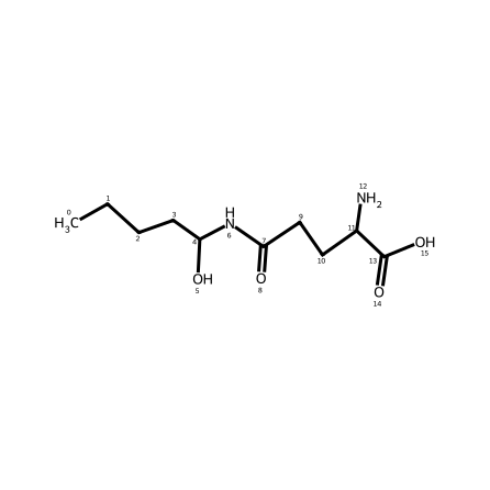 CCCCC(O)NC(=O)CCC(N)C(=O)O